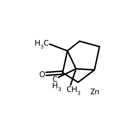 CC12CCC(CC1=O)C2(C)C.[Zn]